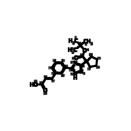 CC(C)(C)OC(=O)C1(c2n[nH]c(-c3cccc(C=CC(=O)O)c3)n2)CCCC1